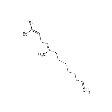 C=CCCCCCC/C(C)=C/CC=C(CC)CC